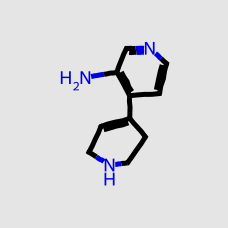 Nc1cnccc1C1=CCNCC1